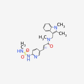 CNS(=O)(=O)Nc1ccc(/C=C/C(=O)N(C)Cc2c(C)n(C)c3ccccc23)cn1